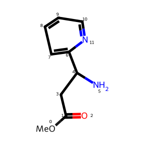 COC(=O)CC(N)c1ccccn1